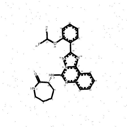 O=C1NCCCC[C@H]1Nc1nc2ccccc2c2nc(-c3ccccc3OC(F)F)nn12